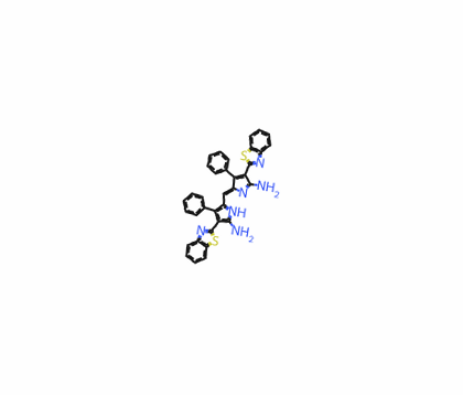 NC1=N/C(=C\c2[nH]c(N)c(-c3nc4ccccc4s3)c2-c2ccccc2)C(c2ccccc2)=C1c1nc2ccccc2s1